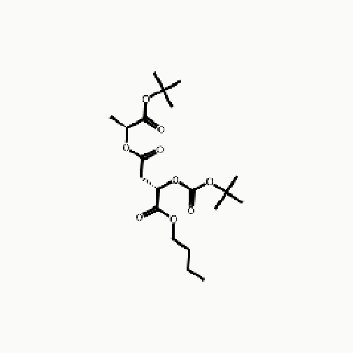 CCCCOC(=O)[C@H](CC(=O)O[C@@H](C)C(=O)OC(C)(C)C)OC(=O)OC(C)(C)C